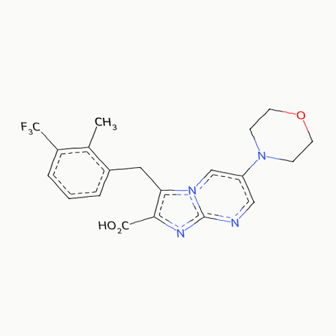 Cc1c(Cc2c(C(=O)O)nc3ncc(N4CCOCC4)cn23)cccc1C(F)(F)F